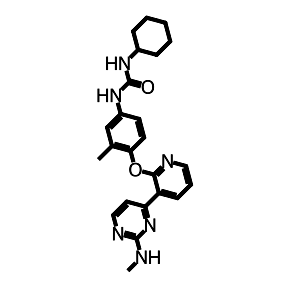 CNc1nccc(-c2cccnc2Oc2ccc(NC(=O)NC3CCCCC3)cc2C)n1